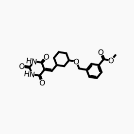 COC(=O)c1cccc(COC2CCCC(C=C3C(=O)NC(=O)NC3=O)C2)c1